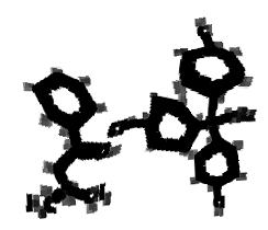 CCCC[B-](c1ccc(Cl)cc1)(c1ccc(Cl)cc1)c1ccc(Cl)cc1.C[S+](C)CC(=O)c1ccccc1